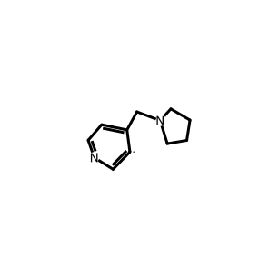 [c]1cnccc1CN1CCCC1